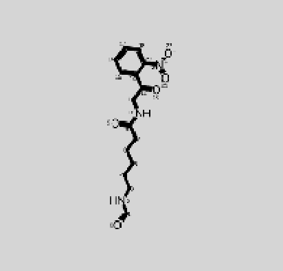 O=CNCCCCCC(=O)NCC(=O)c1ccccc1[N+](=O)[O-]